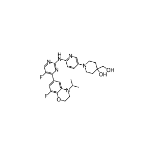 CC(C)N1CCOc2c(F)cc(-c3nc(Nc4ccc(N5CCC(O)(CO)CC5)cn4)ncc3F)cc21